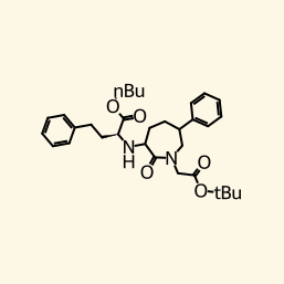 CCCCOC(=O)[C@H](CCc1ccccc1)NC1CCC(c2ccccc2)CN(CC(=O)OC(C)(C)C)C1=O